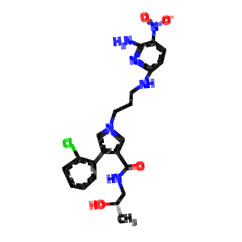 C[C@H](O)CNC(=O)c1cn(CCCNc2ccc([N+](=O)[O-])c(N)n2)cc1-c1ccccc1Cl